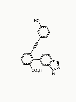 O=C(O)c1cccc(C#Cc2cccc(O)c2)c1-c1ccc2cn[nH]c2c1